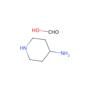 NC1CCNCC1.O=CO